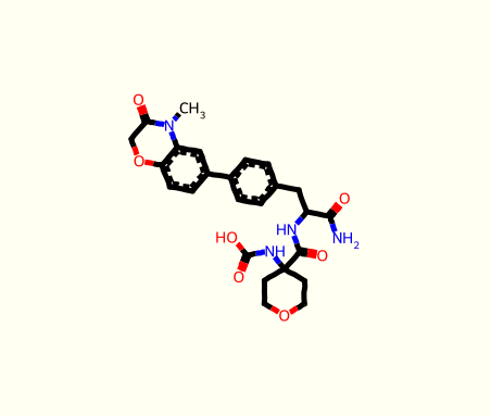 CN1C(=O)COc2ccc(-c3ccc(CC(NC(=O)C4(NC(=O)O)CCOCC4)C(N)=O)cc3)cc21